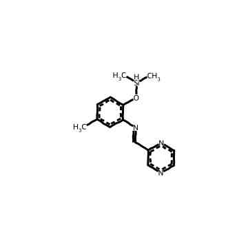 Cc1ccc(O[SiH](C)C)c(N=Cc2cnccn2)c1